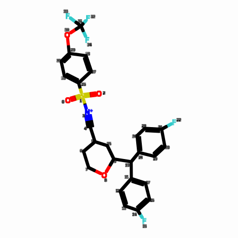 O=S(=O)([N+]#CC1CCOC(C(c2ccc(F)cc2)c2ccc(F)cc2)C1)c1ccc(OC(F)(F)F)cc1